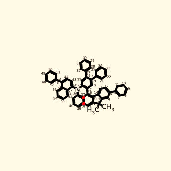 CC1(C)c2cc(-c3ccccc3)ccc2-c2c(-c3cc(-c4ccccc4)c(-c4ccccc4)cc3N(c3ccccc3)c3ccc(-c4ccccc4)c4ccccc34)cccc21